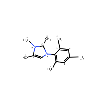 Cc1cc(C)c(N2C=C(C#N)N(C)[C@@H]2C)c(C)c1